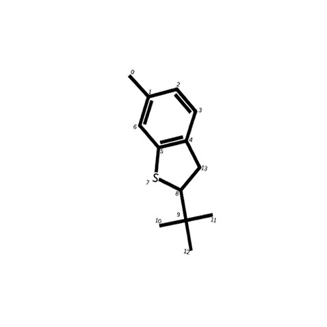 Cc1ccc2c(c1)SC(C(C)(C)C)C2